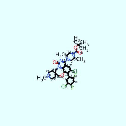 C[C@@H]1CN(c2nc(=O)n3c4c(c(-c5cc(Cl)c(F)cc5F)c(Cl)cc24)OCC2(CCN(C)CC2)C3)[C@@H](C)CN1C(=O)OC(C)(C)C